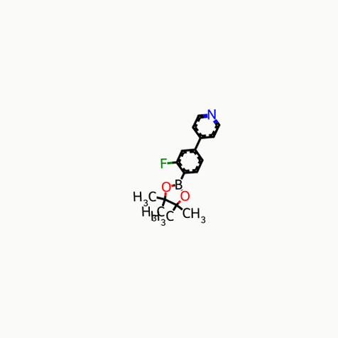 CC1(C)OB(c2ccc(-c3ccncc3)cc2F)OC1(C)C